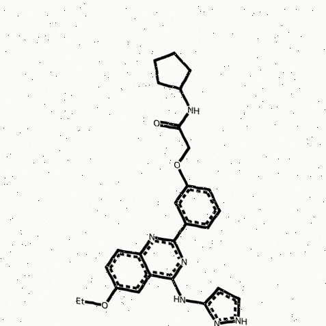 CCOc1ccc2nc(-c3cccc(OCC(=O)NC4CCCC4)c3)nc(Nc3cc[nH]n3)c2c1